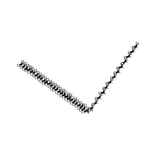 CC#N.ClCCl.ClCCl.ClCCl.ClCCl.ClCCl.ClCCl.ClCCl.ClCCl.ClCCl.ClCCl.ClCCl.ClCCl.ClCCl.ClCCl.ClCCl.ClCCl.ClCCl.ClCCl.ClCCl.ClCCl.ClCCl.ClCCl.ClCCl.ClCCl.ClCCl.ClCCl.ClCCl.ClCCl.ClCCl.ClCCl.ClCCl.ClCCl.ClCCl.ClCCl.ClCCl.ClCCl.ClCCl.ClCCl.ClCCl.ClCCl